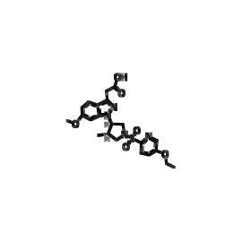 CCOc1ccc(S(=O)(=O)N2C[C@@H](C)[C@@H](n3nc(CC(=O)O)c4ccc(OC)cc43)C2)nc1